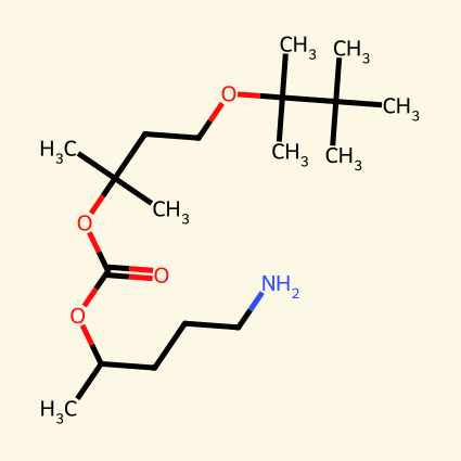 CC(CCCN)OC(=O)OC(C)(C)CCOC(C)(C)C(C)(C)C